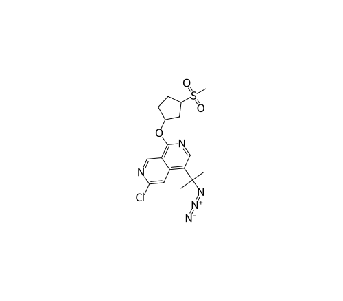 CC(C)(N=[N+]=[N-])c1cnc(OC2CCC(S(C)(=O)=O)C2)c2cnc(Cl)cc12